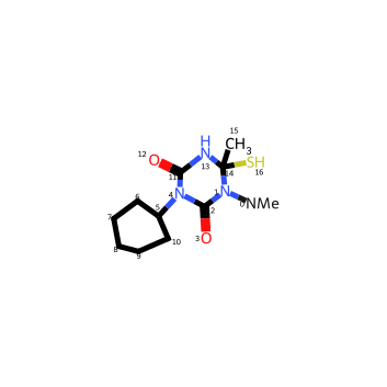 CNN1C(=O)N(C2CCCCC2)C(=O)NC1(C)S